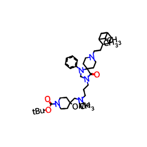 COC1(CN(C)CCCN2CN(c3ccccc3)C3(CCN(CCC4CCC5CC4C5(C)C)CC3)C2=O)CCN(C(=O)OC(C)(C)C)CC1